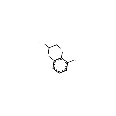 Nc1cccc2c1OCC(C=O)N2